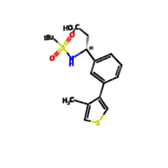 Cc1cscc1-c1cccc([C@@H](CC(=O)O)NS(=O)(=O)C(C)(C)C)c1